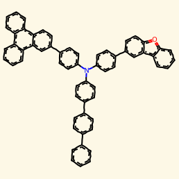 c1ccc(-c2ccc(-c3ccc(N(c4ccc(-c5ccc6oc7ccccc7c6c5)cc4)c4ccc(-c5ccc6c7ccccc7c7ccccc7c6c5)cc4)cc3)cc2)cc1